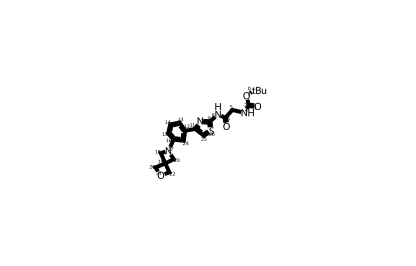 CC(C)(C)OC(=O)NCC(=O)Nc1nc(-c2cccc(N3CC4(COC4)C3)c2)cs1